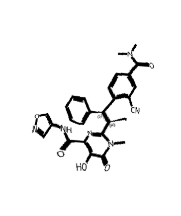 C[C@@H](c1nc(C(=O)Nc2cnoc2)c(O)c(=O)n1C)[C@@H](c1ccccc1)c1ccc(C(=O)N(C)C)cc1C#N